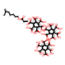 C=CC(=O)OCCCCCC(C)C.O=C(O)c1c(C(=O)O)c(C(=O)O)c(C(=O)O)c(C(=O)O)c1C(=O)O.O=C(O)c1c(C(=O)O)c(C(=O)O)c(C(=O)O)c(C(=O)O)c1C(=O)O.O=C(O)c1c(C(=O)O)c(C(=O)O)c(C(=O)O)c(C(=O)O)c1C(=O)O